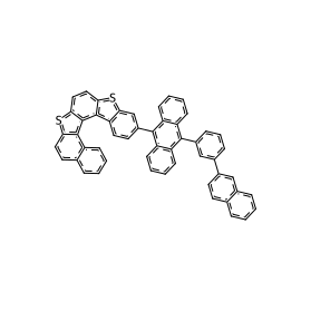 c1cc(-c2ccc3ccccc3c2)cc(-c2c3ccccc3c(-c3ccc4c(c3)sc3ccc5sc6ccc7ccccc7c6c5c34)c3ccccc23)c1